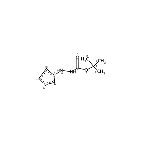 CC(C)(C)OC(=O)NNn1ccnc1